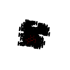 CC1C(O)[C@H](OC2OC(CO)[C@H](O)[C@H](O[C@]3(C(=O)O)C[C@@H](O)[C@@H](N)C(C(O)C(O)CO)O3)C2O)[C@H](CO)O[C@H]1O[C@@H]1C(O)[C@H](O)C(CO)O[C@@H]1OCC1O[C@@H](O[C@@H]2C(CO)O[C@@H](O[C@@H]3C(CO)O[C@@H](C)[C@@H](C)C3O)[C@@H](C)C2O)[C@H](O)C(O[C@H]2O[C@H](CO)[C@@H](O)C(O)C2O[C@@H]2OC(CO)[C@@H](O[C@@H]3OC(CO)[C@H](O)C(O)[C@@H]3O)C(O)[C@@H]2C)[C@@H]1O